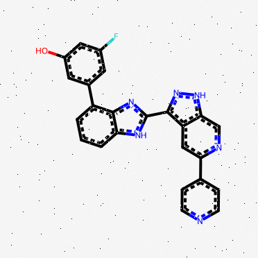 Oc1cc(F)cc(-c2cccc3[nH]c(-c4n[nH]c5cnc(-c6ccncc6)cc45)nc23)c1